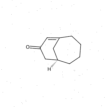 O=C1C=C2CCCC[C@@H](C1)C2